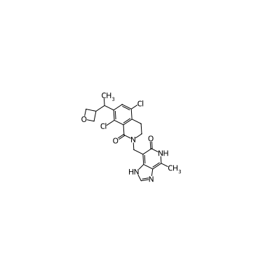 Cc1[nH]c(=O)c(CN2CCc3c(Cl)cc(C(C)C4COC4)c(Cl)c3C2=O)c2[nH]cnc12